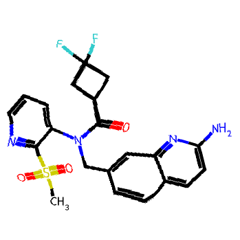 CS(=O)(=O)c1ncccc1N(Cc1ccc2ccc(N)nc2c1)C(=O)C1CC(F)(F)C1